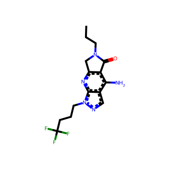 CCCN1Cc2nc3c(cnn3CCCC(F)(F)F)c(N)c2C1=O